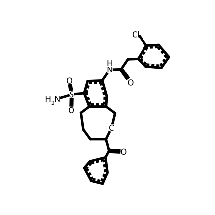 NS(=O)(=O)c1cc(NC(=O)Cc2ccccc2Cl)cc2c1CCCC(C(=O)c1ccccc1)CC2